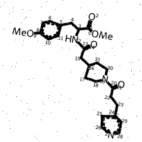 COC(=O)C(Cc1ccc(OC)cc1)NC(=O)CC1CCN(C(=O)CCc2ccncc2)CC1